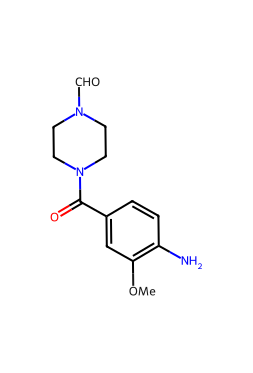 COc1cc(C(=O)N2CCN(C=O)CC2)ccc1N